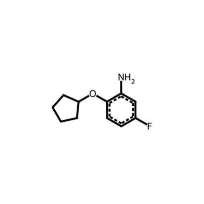 Nc1cc(F)ccc1OC1CCCC1